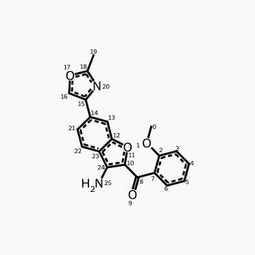 COc1ccccc1C(=O)c1oc2cc(-c3coc(C)n3)ccc2c1N